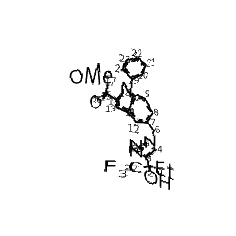 CCC(O)(c1cn(Cc2ccc3c(c2)cc(C(=O)OC)n3-c2ccccc2)nn1)C(F)(F)F